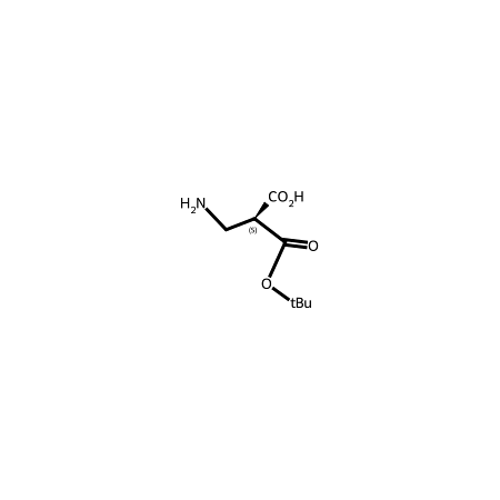 CC(C)(C)OC(=O)[C@@H](CN)C(=O)O